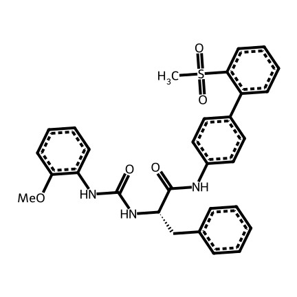 COc1ccccc1NC(=O)N[C@@H](Cc1ccccc1)C(=O)Nc1ccc(-c2ccccc2S(C)(=O)=O)cc1